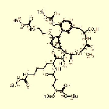 CCCCCCCCCCN(CCC(=O)N[C@@H](CCCCNC(=O)OC(C)(C)C)C(=O)N(C)[C@@H]1C(=O)N[C@@H](C)C(=O)N[C@H](C(=O)O)Cc2ccc(OC(=O)OC(C)(C)C)c(c2)-c2cc1ccc2OCCNC(=O)OC(C)(C)C)C(=O)OC(C)(C)C